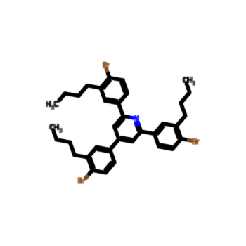 CCCCc1cc(-c2cc(-c3ccc(Br)c(CCCC)c3)nc(-c3ccc(Br)c(CCCC)c3)c2)ccc1Br